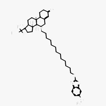 CCOc1ccc2nc(SCCCCCCCCCCCCC[C@@H]3CC4=CC(=O)CC[C@]4(C)[C@H]4CC[C@@]5(C)[C@@H](CC[C@@]5(O)C(F)(F)C(F)(F)F)[C@H]34)sc2c1